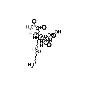 CCCCCCCC(=O)NCCCCC(NC(=O)C(N)CC1=CN(C(C)c2ccccc2)CN1c1ccccc1)C(=O)NC(Cc1ccccc1)C(=O)NC(Cc1ccc(O)cc1)C(=O)O